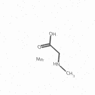 CNCC(=O)O.[Mn]